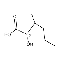 CCCC(C)[C@H](O)C(=O)O